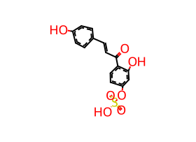 O=C(/C=C/c1ccc(O)cc1)c1ccc(OS(=O)(=O)O)cc1O